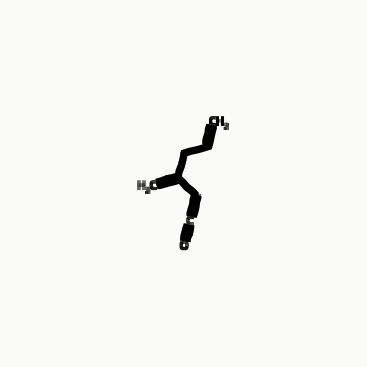 C=CCC(=C)[C]=C=O